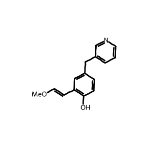 COC=Cc1cc(Cc2cccnc2)ccc1O